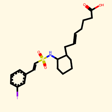 O=C(O)CCCC=CCC1CCCCC1NS(=O)(=O)C=Cc1cccc(I)c1